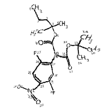 CCCC(C)(C)OC(=O)N(C(=O)OC(C)(C)C)c1cc(F)c([N+](=O)[O-])cc1F